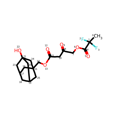 CC(F)(F)C(=O)OCC(=O)CC(=O)OCC12CC3CC(CC(O)(C3)C1)C2